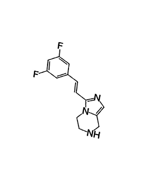 Fc1cc(F)cc(C=Cc2ncc3n2CCNC3)c1